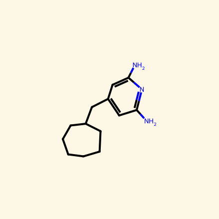 Nc1cc(CC2CCCCCC2)cc(N)n1